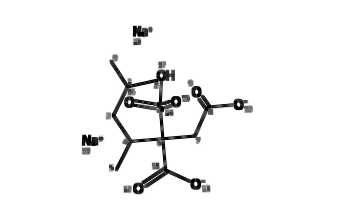 CC(C)CC(C)C(CC(=O)[O-])(C(=O)[O-])S(=O)(=O)O.[Na+].[Na+]